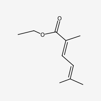 CCOC(=O)C(C)=CC=C(C)C